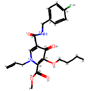 C=CCn1cc(C(=O)NCc2ccc(F)cc2)c(=O)c(OCCCC)c1C(=O)OC